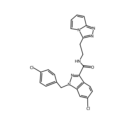 O=C(NCCc1nnc2ccccn12)c1nn(Cc2ccc(Cl)cc2)c2cc(Cl)ccc12